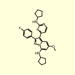 COc1cc(NC2CCCC2)n2nc(-c3ccc(F)cc3)c(-c3ccnc(NC4CCCC4)n3)c2c1